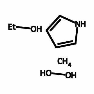 C.CCO.OO.c1cc[nH]c1